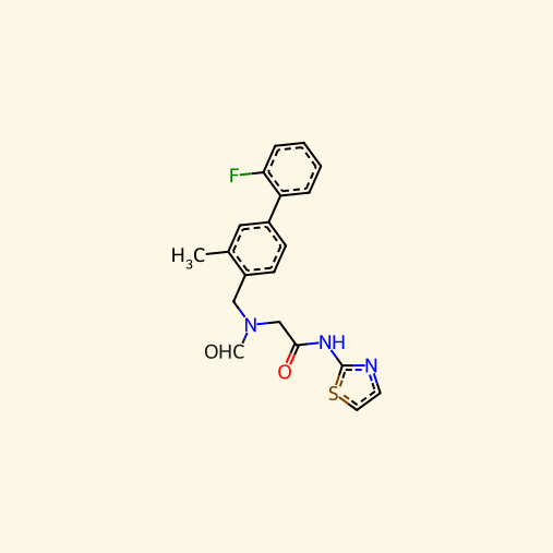 Cc1cc(-c2ccccc2F)ccc1CN(C=O)CC(=O)Nc1nccs1